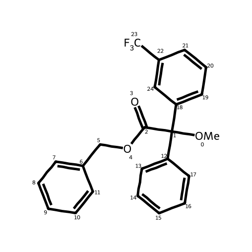 COC(C(=O)OCc1ccccc1)(c1ccccc1)c1cccc(C(F)(F)F)c1